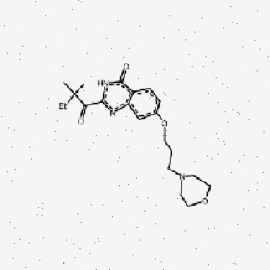 CCC(C)(C)C(=O)c1nc2cc(OCCCN3CCOCC3)ccc2c(=O)[nH]1